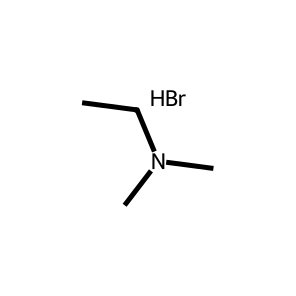 Br.CCN(C)C